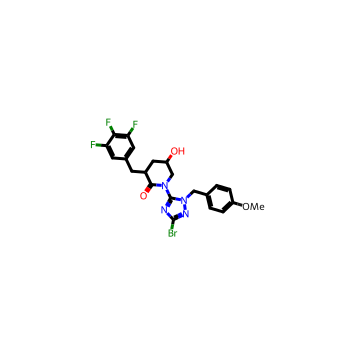 COc1ccc(Cn2nc(Br)nc2N2CC(O)CC(Cc3cc(F)c(F)c(F)c3)C2=O)cc1